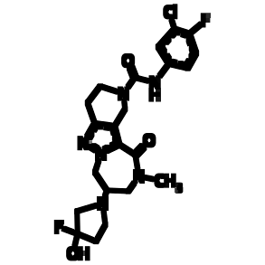 CN1CC(N2CCC(O)(F)C2)Cn2nc3c(c2C1=O)CN(C(=O)Nc1ccc(F)c(Cl)c1)CC3